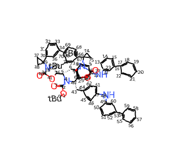 CC(C)(C)OC(=O)N([C@@H](Cc1ccc(Nc2cccc(-c3ccccc3)c2)cc1)[C@H]1CN(C2(c3cccc(C(C)(C)C)c3)CC2)C(=O)O1)[C@@H](Cc1ccc(Nc2cccc(-c3ccccc3)c2)cc1)[C@H]1CN(C2(c3cccc(C(C)(C)C)c3)CC2)C(=O)O1